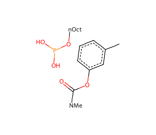 CCCCCCCCOP(O)O.CNC(=O)Oc1cccc(C)c1